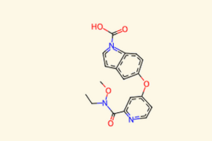 CCN(OC)C(=O)c1cc(Oc2ccc3c(ccn3C(=O)O)c2)ccn1